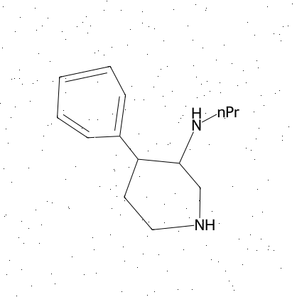 CCCNC1CNCCC1c1ccccc1